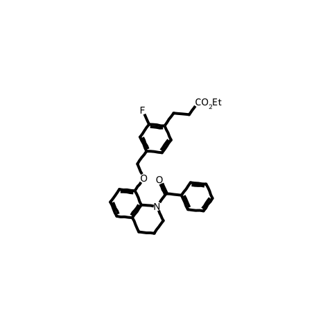 CCOC(=O)CCc1ccc(COc2cccc3c2N(C(=O)c2ccccc2)CCC3)cc1F